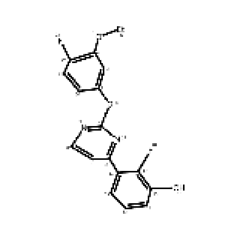 CCOc1cc(Oc2nccc(-c3cccc(O)c3F)n2)ccc1F